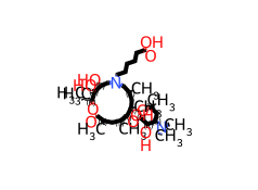 CC[C@H]1OC(=O)[C@H](C)C[C@H](C)[C@@H](O[C@@H]2O[C@H](C)C[C@H](N(C)C)[C@H]2O)[C@](C)(O)C[C@@H](C)CN(CCCCCC(=O)O)C[C@@H](O)[C@]1(C)O